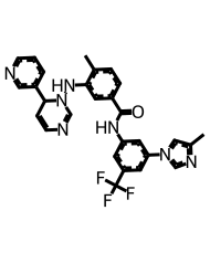 Cc1cn(-c2cc(NC(=O)c3ccc(C)c(NN4C=NC=CC4c4cccnc4)c3)cc(C(F)(F)F)c2)cn1